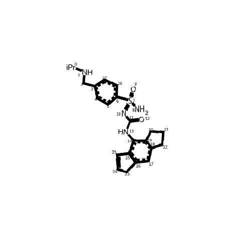 CC(C)NCc1ccc(S(N)(=O)=NC(=O)Nc2c3c(cc4c2CCC4)CC=C3)cc1